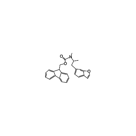 CC(Cc1ccc2ccoc2c1)N(C)C(=O)OCC1c2ccccc2-c2ccccc21